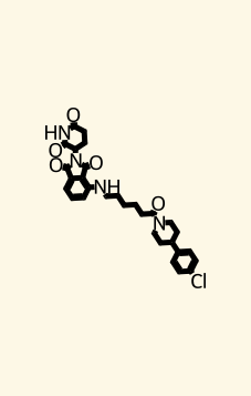 O=C1CCC(N2C(=O)c3cccc(NCCCCCC(=O)N4CCC(c5ccc(Cl)cc5)CC4)c3C2=O)C(=O)N1